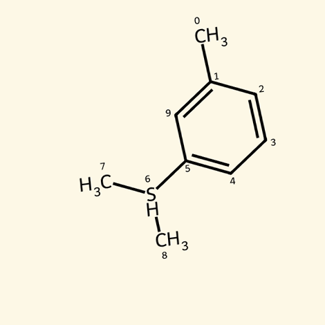 Cc1cccc([SH](C)C)c1